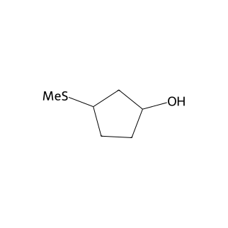 CSC1CCC(O)C1